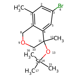 Cc1cc(Br)cc2c1COCC2(C)O[Si](C)(C)C